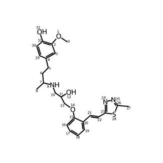 COc1cc(CCC(C)NCC(O)COc2ccccc2C=Cc2nnc(C)s2)ccc1O